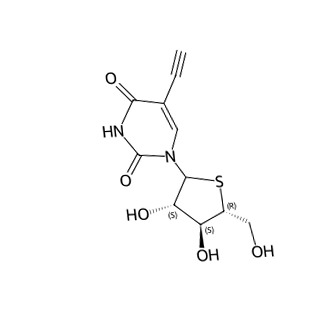 C#Cc1cn(C2S[C@H](CO)[C@@H](O)[C@@H]2O)c(=O)[nH]c1=O